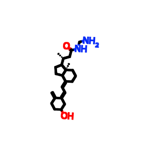 C=C1CCC(O)C/C1=C/C=C1\CCC[C@@]2(C)C1CCC2[C@H](C)CC(=O)NCN